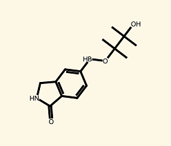 CC(C)(O)C(C)(C)OBc1ccc2c(c1)CNC2=O